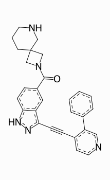 O=C(c1ccc2[nH]nc(C#Cc3ccncc3-c3ccccc3)c2c1)N1CC2(CCCNC2)C1